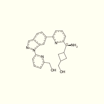 N[C@H](c1cccc(-c2ccc3cnn(-c4cccc(CO)n4)c3c2)n1)C1CC(CO)C1